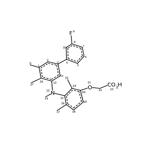 Cc1cc(-c2cccc(F)c2)cc(N(C)c2c(C)ccc(OCC(=O)O)c2C)c1C